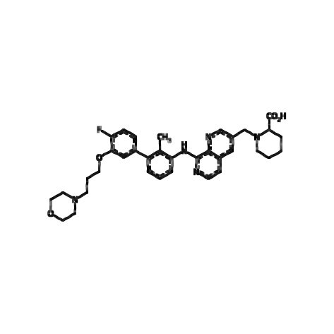 Cc1c(Nc2nccc3cc(CN4CCCCC4C(=O)O)cnc23)cccc1-c1ccc(F)c(OCCCN2CCOCC2)c1